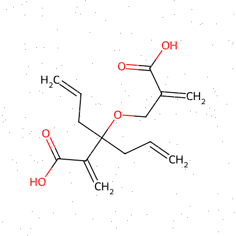 C=CCC(CC=C)(OCC(=C)C(=O)O)C(=C)C(=O)O